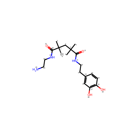 CCC(C)(CC(C)(C)C(=O)NCCc1ccc(O)c(O)c1)C(=O)NCCN